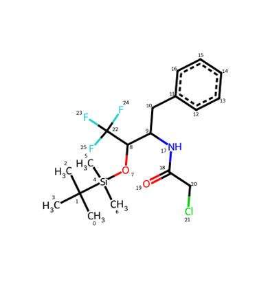 CC(C)(C)[Si](C)(C)OC(C(Cc1ccccc1)NC(=O)CCl)C(F)(F)F